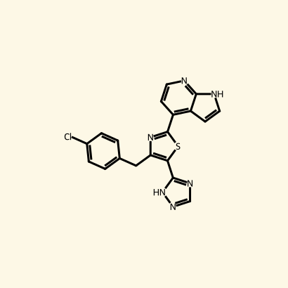 Clc1ccc(Cc2nc(-c3ccnc4[nH]ccc34)sc2-c2ncn[nH]2)cc1